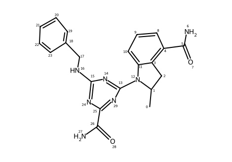 CC1Cc2c(C(N)=O)cccc2N1c1nc(NCc2ccccc2)nc(C(N)=O)n1